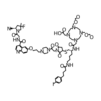 CC1(F)C[C@H](C#N)N(C(=O)CNC(=O)c2ccnc3ccc(OCCCN4CCN(C(=O)CN5C(=O)CC(SC[C@H](CCCCNC(=O)CCCc6ccc(I)cc6)NC(=O)CN6CCN(COC=O)CCN(COC=O)CCN(CC(=O)O)CC6)C5=O)CC4)cc23)C1